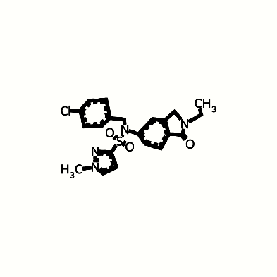 CCN1Cc2cc(N(Cc3ccc(Cl)cc3)S(=O)(=O)c3ccn(C)n3)ccc2C1=O